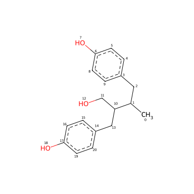 CC(Cc1ccc(O)cc1)C(CO)Cc1ccc(O)cc1